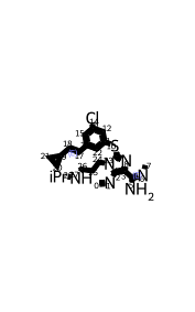 C=Nc1c(/C(N)=N\C)nc(Sc2cc(Cl)cc(/C=C/C3CC3)c2)n1CCCNC(C)C